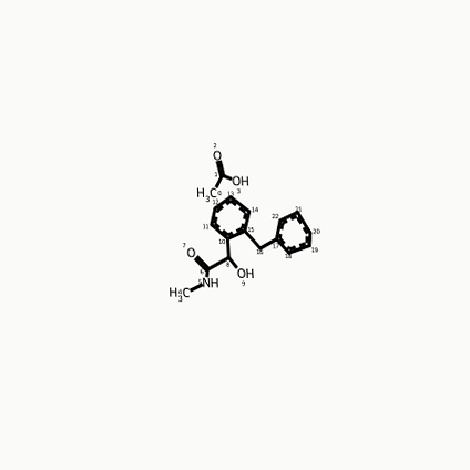 CC(=O)O.CNC(=O)C(O)c1ccccc1Cc1ccccc1